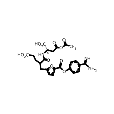 N=C(N)c1ccc(OC(=O)c2ccc(CC(CCC(=O)O)C(=O)N[C@@H](CC(=O)OC(=O)C(F)(F)F)C(=O)O)o2)cc1